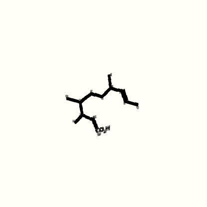 C/C=C/C(C)CCC(C)C(C)CC(=O)O